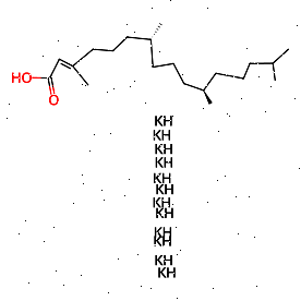 C/C(=C\C(=O)O)CCC[C@H](C)CCC[C@H](C)CCCC(C)C.[KH].[KH].[KH].[KH].[KH].[KH].[KH].[KH].[KH].[KH].[KH].[KH]